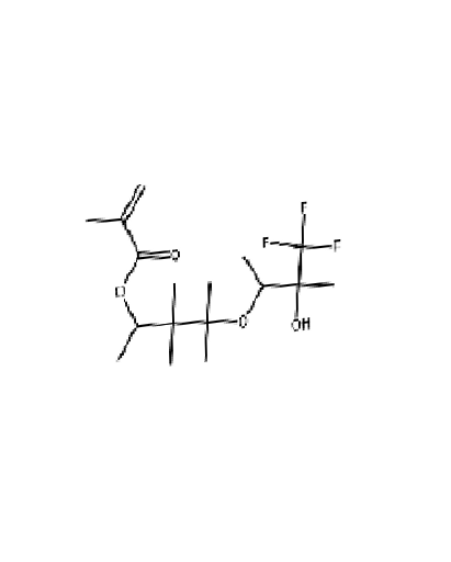 C=C(C)C(=O)OC(C)C(C)(C)C(C)(C)OC(C)C(C)(O)C(F)(F)F